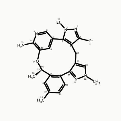 CCn1nc(C(C)C)c2c1-c1cnc(N)c(c1)O[C@H](C)c1cc(C)ccc1-c1nn(C)cc1C2